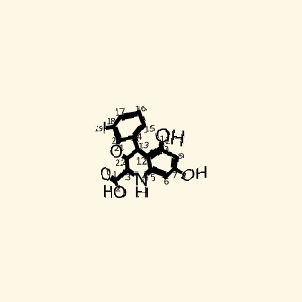 O=C(O)C1Nc2cc(O)cc(O)c2C2c3cccc(I)c3OC12